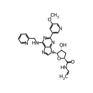 C=CNC(=O)[C@@H]1C[C@@H](O)[C@H](n2cnc3c(NCc4ccccn4)nc(-c4cncc(OC)c4)nc32)O1